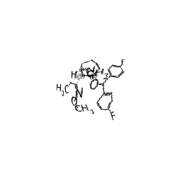 CCC(=NOC)[C@@H]1[C@H]2CCC(C[C@H]1OC(c1ccc(F)cc1)c1ccc(F)cc1)N2C